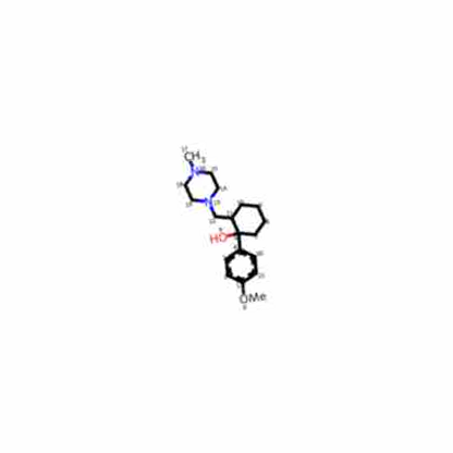 COc1ccc(C2(O)CCCCC2CN2CCN(C)CC2)cc1